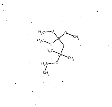 CO[Si](C[Si](C)(C)O[SiH2]C)(OC)OC